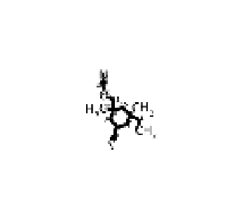 CCC1(C)CC(C#N)CC(C)(COC#N)C1